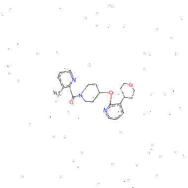 Cc1cccnc1C(=O)N1CCC(Oc2ncccc2C2CCOCC2)CC1